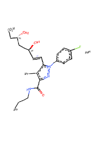 CC(C)CCNC(=O)c1nn(-c2ccc(F)cc2)c(/C=C/[C@H](O)C[C@@H](O)CC(=O)O)c1C(C)C.[NaH]